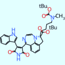 CN(CCCCC[N@@+]12C=CN=C(C3=C(c4c[nH]c5ccccc45)C(=O)NC3=O)c3cccc(c31)CC2C(=O)OC(C)(C)C)C(=O)OC(C)(C)C